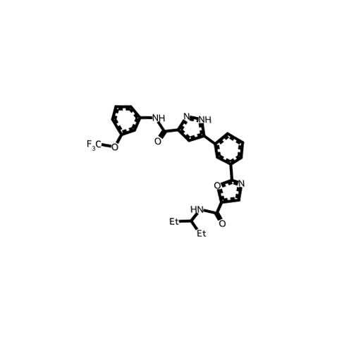 CCC(CC)NC(=O)c1cnc(-c2cccc(-c3cc(C(=O)Nc4cccc(OC(F)(F)F)c4)n[nH]3)c2)o1